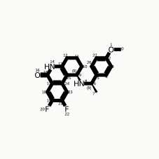 COc1ccc([C@@H](C)N[C@@H]2CCCc3[nH]c(=O)c4cc(F)c(F)cc4c32)cc1